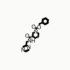 O=C(NCc1cnccn1)[C@@H]1CCCN(C(=O)OCc2ccccc2)C1